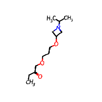 CCC(=O)COCCCOC1CN(C(C)C)C1